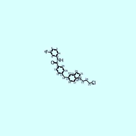 O=C(Nc1cccc(F)c1)c1ccc(Cc2ccc3c(ccn3CCCCl)c2)cc1